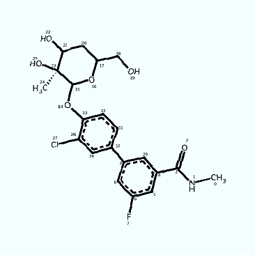 CNC(=O)c1cc(F)cc(-c2ccc(OC3OC(CO)CC(O)[C@]3(C)O)c(Cl)c2)c1